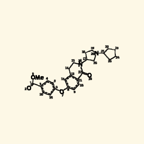 COC(=O)c1ccc(Oc2ccc3c(c2)CCN(C2CCN(C4CCCC4)C2)C3=O)cc1